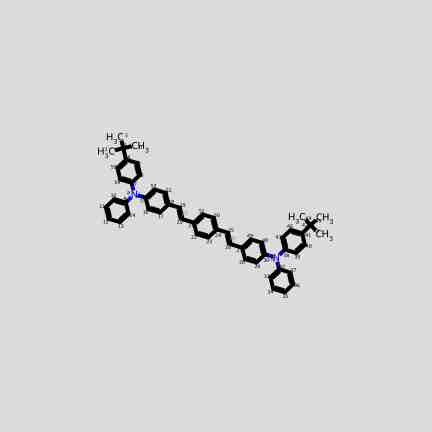 CC(C)(C)c1ccc(N(c2ccccc2)c2ccc(/C=C/c3ccc(/C=C/c4ccc(N(c5ccccc5)c5ccc(C(C)(C)C)cc5)cc4)cc3)cc2)cc1